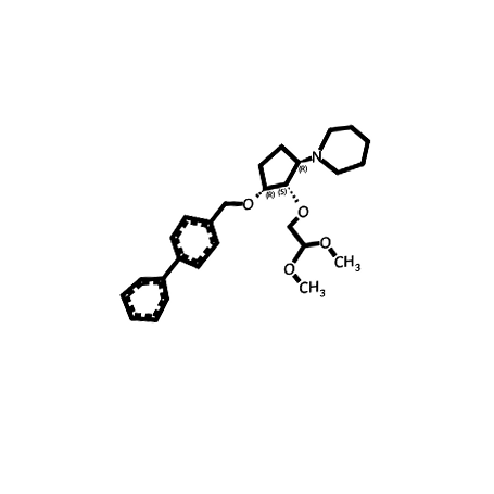 COC(CO[C@H]1[C@H](N2CCCCC2)CC[C@H]1OCc1ccc(-c2ccccc2)cc1)OC